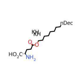 CCCCCCCCCCCCCCCCCCOC(=O)CC[C@H](N)C(=O)O.[KH].[KH]